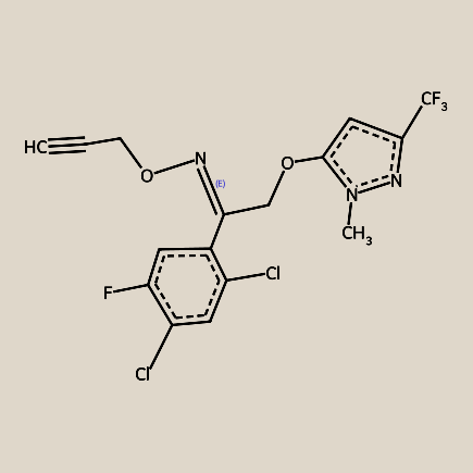 C#CCO/N=C(/COc1cc(C(F)(F)F)nn1C)c1cc(F)c(Cl)cc1Cl